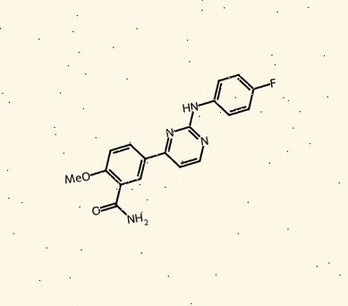 COc1ccc(-c2ccnc(Nc3ccc(F)cc3)n2)cc1C(N)=O